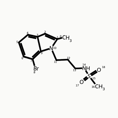 Cc1cc2cccc(Br)c2n1CCCNS(C)(=O)=O